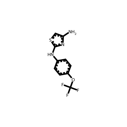 Nc1csc(Nc2ccc(OC(F)(F)F)cc2)n1